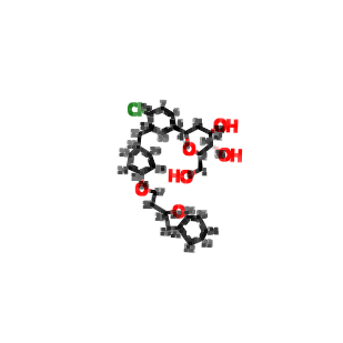 OC[C@H]1O[C@@H](c2ccc(Cl)c(Cc3ccc(OCCC4Cc5ccccc5O4)cc3)c2)C[C@@H](O)[C@@H]1O